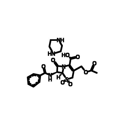 C1CNCCN1.CC(=O)OCC1=C(C(=O)O)N2C(=O)[C@H](NC(=O)c3ccccc3)[C@@H]2S(=O)(=O)C1